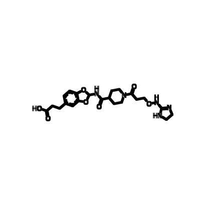 O=C(O)CCc1ccc2c(c1)OC(NC(=O)C1CCN(C(=O)CCONC3=NCCN3)CC1)O2